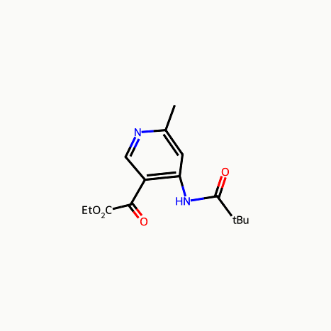 CCOC(=O)C(=O)c1cnc(C)cc1NC(=O)C(C)(C)C